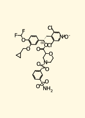 NS(=O)(=O)c1cccc(S(=O)(=O)N2CCOC(C(=O)O[C@@H](Cc3c(Cl)c[n+]([O-])cc3Cl)c3ccc(OC(F)F)c(OCC4CC4)c3)C2)c1